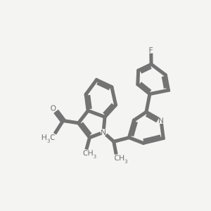 CC(=O)c1c(C)n(C(C)c2ccnc(-c3ccc(F)cc3)c2)c2ccccc12